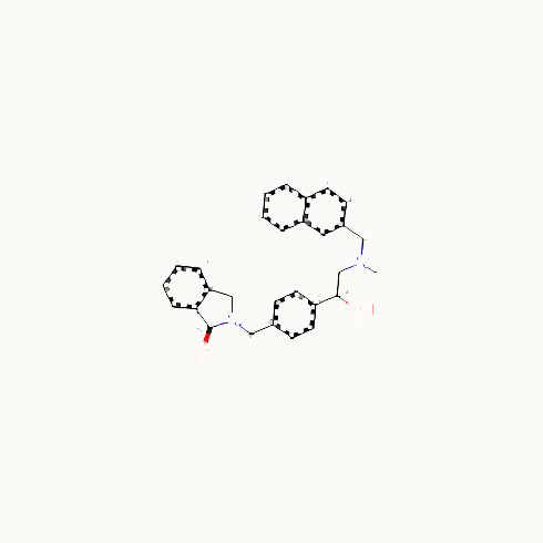 CCN(Cc1ccc2ccccc2c1)CC(O)c1ccc(CN2Cc3ccccc3C2=O)cc1